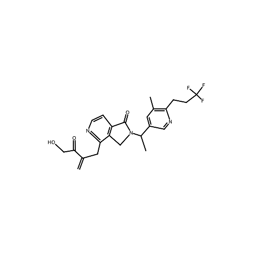 C=C(Cc1nccc2c1CN(C(C)c1cnc(CCC(F)(F)F)c(C)c1)C2=O)C(=O)CO